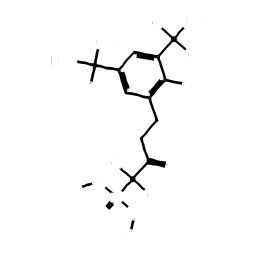 COP(=O)(OC)C(C)(C)C(=O)CCc1cc(C(C)(C)C)cc(C(C)(C)C)c1O